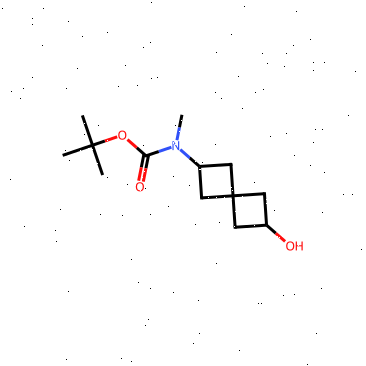 CN(C(=O)OC(C)(C)C)C1CC2(CC(O)C2)C1